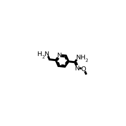 CO/N=C(\N)c1ccc(CN)nc1